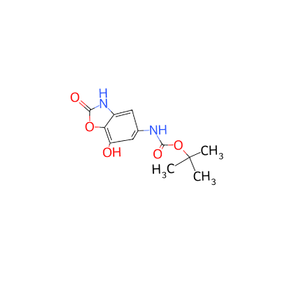 CC(C)(C)OC(=O)Nc1cc(O)c2oc(=O)[nH]c2c1